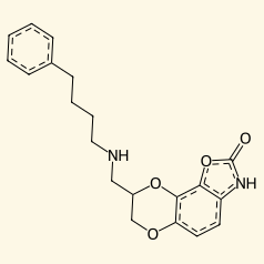 O=c1[nH]c2ccc3c(c2o1)OC(CNCCCCc1ccccc1)CO3